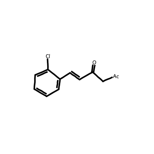 CC(=O)CC(=O)C=Cc1ccccc1Cl